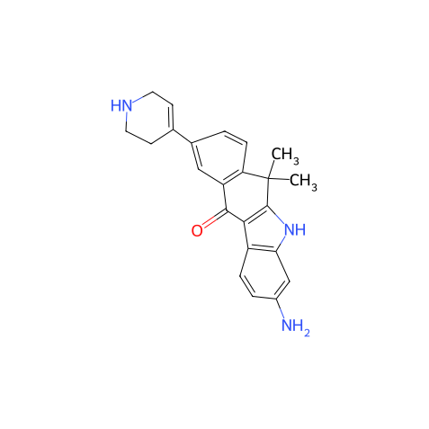 CC1(C)c2ccc(C3=CCNCC3)cc2C(=O)c2c1[nH]c1cc(N)ccc21